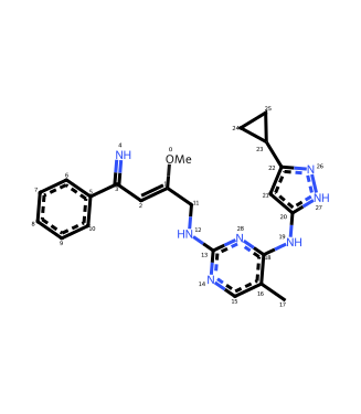 CO/C(=C\C(=N)c1ccccc1)CNc1ncc(C)c(Nc2cc(C3CC3)n[nH]2)n1